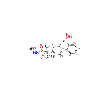 CCCNS(=O)(=O)C(C)(C)c1ccc(-c2ccccc2CO)cc1